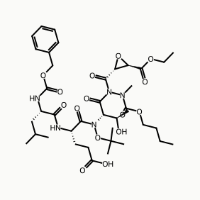 CCCCOC(=O)N(C)N(C(=O)[C@H]([C@@H](C)O)N(OC(C)(C)C)C(=O)[C@H](CCC(=O)O)NC(=O)[C@H](CC(C)C)NC(=O)OCc1ccccc1)C(=O)[C@@H]1O[C@H]1C(=O)OCC